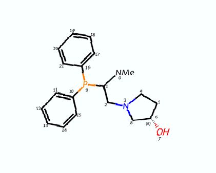 CNC(CN1CC[C@H](O)C1)P(c1ccccc1)c1ccccc1